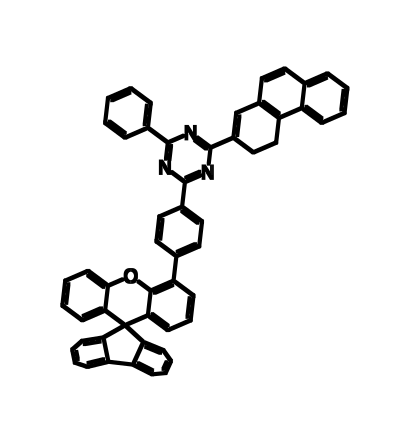 C1=C(c2nc(-c3ccccc3)nc(-c3ccc(-c4cccc5c4Oc4ccccc4C54c5ccccc5-c5ccccc54)cc3)n2)CCc2c1ccc1ccccc21